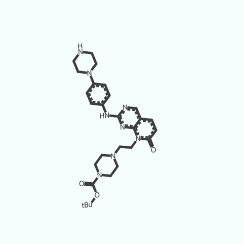 CC(C)(C)OC(=O)N1CCN(CCn2c(=O)ccc3cnc(Nc4ccc(N5CCNCC5)cc4)nc32)CC1